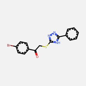 O=C(CSc1nnc(-c2ccccc2)[nH]1)c1ccc(Br)cc1